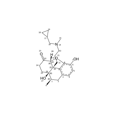 C[C@@H]1Cc2ccc(O)c3c2[C@@]2(CCCN(C)CC4CC4)[C@@H](O3)C(=O)CC[C@@]12O